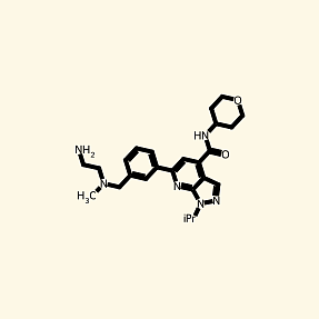 CC(C)n1ncc2c(C(=O)NC3CCOCC3)cc(-c3cccc(CN(C)CCN)c3)nc21